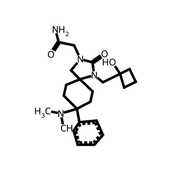 CN(C)C1(c2ccccc2)CCC2(CC1)CN(CC(N)=O)C(=O)N2CC1(O)CCC1